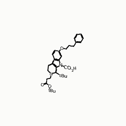 CC(C)(C)OC(=O)CCN1CCc2c(n(C(=O)O)c3cc(OCCCc4ccccc4)ccc23)C1C(C)(C)C